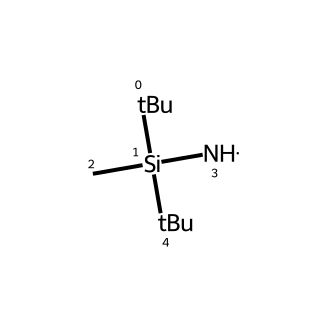 CC(C)(C)[Si](C)([NH])C(C)(C)C